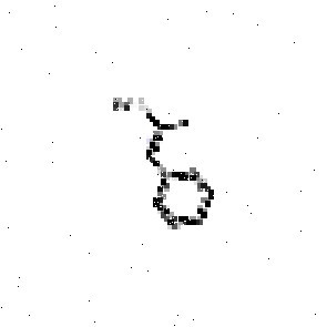 CCOC(=O)/C(C)=C/c1ccccc1